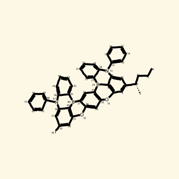 CCC[C@H](C)c1cc2c3c(c1)N(c1ccccc1)c1ccccc1B3c1cc3c(cc1O2)Oc1cc(I)cc2c1B3c1ccccc1N2c1ccccc1